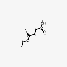 CCOC(=O)CCS(=O)O